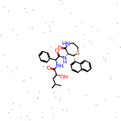 CC(C)C[C@H](O)C(=O)N[C@H](C(=O)N[C@@H]1C(=O)NCCS[C@@H]1c1cccc2ccccc12)c1ccccc1